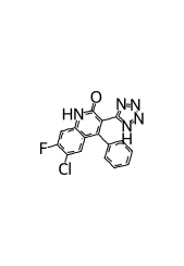 O=c1[nH]c2cc(F)c(Cl)cc2c(-c2ccccc2)c1-c1nnn[nH]1